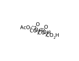 CC(=O)OC(CC(=O)OC(CC(=O)OC(C)C(=O)O)C(=O)O)C(=O)O